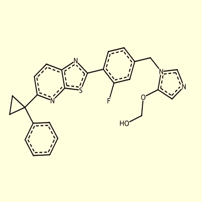 OCOc1cncn1Cc1ccc(-c2nc3ccc(C4(c5ccccc5)CC4)nc3s2)c(F)c1